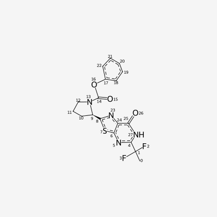 CC(F)(F)c1nc2sc([C@H]3CCCN3C(=O)Oc3ccccc3)nc2c(=O)[nH]1